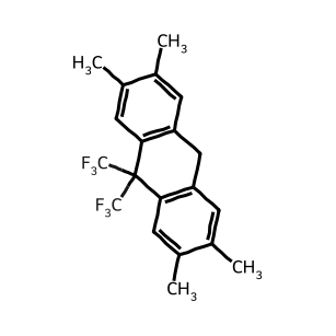 Cc1cc2c(cc1C)C(C(F)(F)F)(C(F)(F)F)c1cc(C)c(C)cc1C2